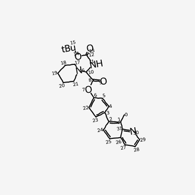 Cc1c(-c2ccc(OC(=O)C(NC(=O)OC(C)(C)C)N3CCCCC3)cc2)ccc2cccnc12